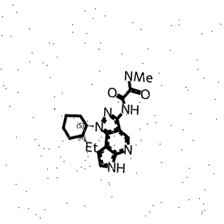 CC[C@@H]1CCCC[C@@H]1n1nc(NC(=O)C(=O)NC)c2cnc3[nH]ccc3c21